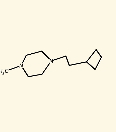 CN1CCN(CCC2CCC2)CC1